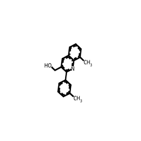 Cc1cccc(-c2nc3c(C)cccc3cc2CO)c1